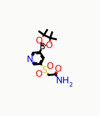 CC1(C)OB(c2cncc(S(=O)(=O)CC(N)=O)c2)OC1(C)C